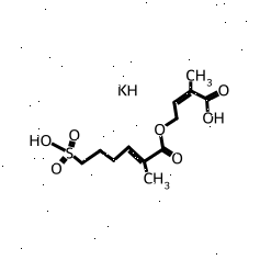 CC(=CCOC(=O)C(C)=CCCCS(=O)(=O)O)C(=O)O.[KH]